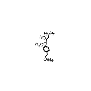 COCCc1ccc(OCC(O)CNC(C)C)cc1.O